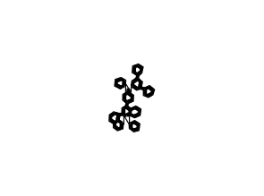 c1ccc(-c2cc(-c3ccccc3)cc(N(c3ccccc3)c3ccc(-c4cc5c(c6ccccc46)N(c4ccccc4)c4cccc6cccc-5c46)cc3)c2)cc1